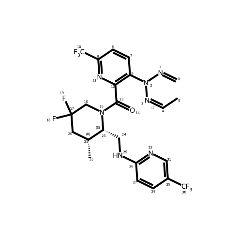 C=NN(/N=C\C)c1ccc(C(F)(F)F)nc1C(=O)N1CC(F)(F)C[C@@H](C)[C@H]1CNc1ccc(C(F)(F)F)cn1